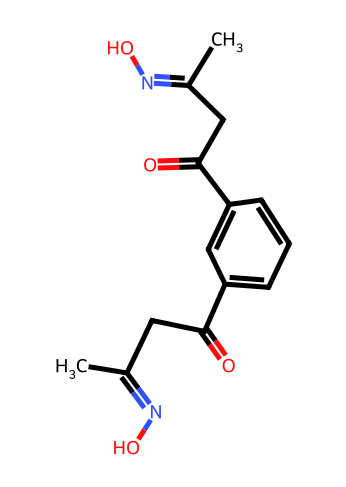 CC(CC(=O)c1cccc(C(=O)CC(C)=NO)c1)=NO